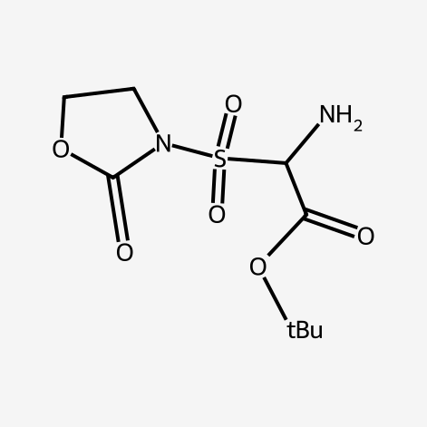 CC(C)(C)OC(=O)C(N)S(=O)(=O)N1CCOC1=O